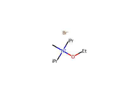 CCO[N+](C)(C(C)C)C(C)C.[Br-]